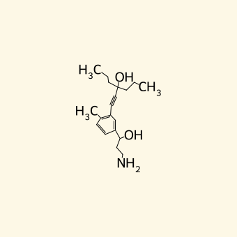 CCCC(O)(C#Cc1cc(C(O)CCN)ccc1C)CCC